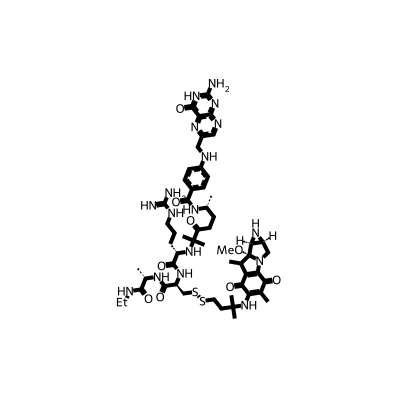 CCNC(=O)[C@H](C)NC(=O)[C@H](CSSCCC(C)(C)NC1=C(C)C(=O)C2=C(C1=O)C(C)[C@@]1(OC)[C@H]3N[C@H]3CN21)NC(=O)[C@H](CCCNC(=N)N)NC(C)(C)C(=O)CC[C@@H](C)NC(=O)c1ccc(NCc2cnc3nc(N)[nH]c(=O)c3n2)cc1